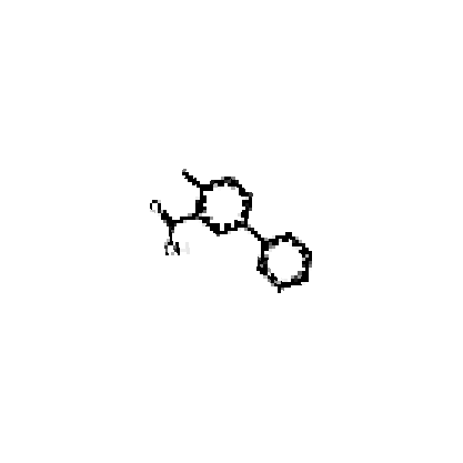 Cc1ccc(-c2c[c]ccc2)cc1C(=O)O